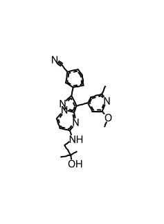 COc1cc(-c2c(-c3cccc(C#N)c3)nn3ccc(NCC(C)(C)O)nc23)cc(C)n1